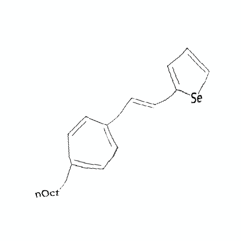 CCCCCCCCc1ccc(C=Cc2ccc[se]2)cc1